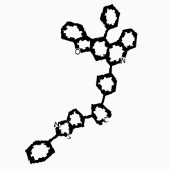 c1ccc(-c2nc3ccc(-c4cccc(-c5ccc(-c6nc7ccccc7c7c(-c8ccccc8)c8c(cc67)oc6ccccc68)cc5)c4)cc3s2)cc1